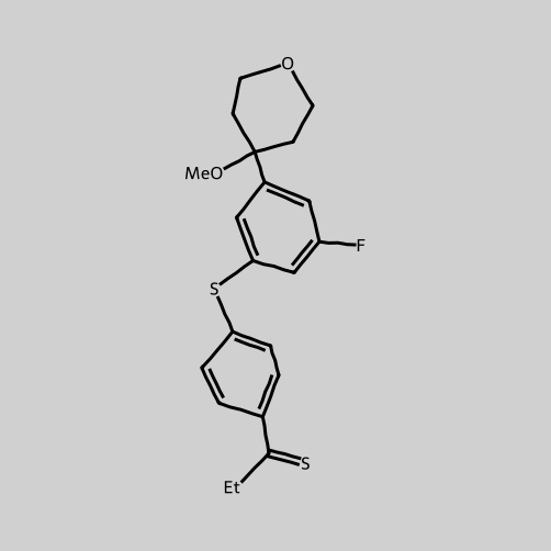 CCC(=S)c1ccc(Sc2cc(F)cc(C3(OC)CCOCC3)c2)cc1